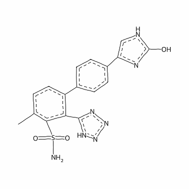 Cc1ccc(-c2ccc(-c3c[nH]c(O)n3)cc2)c(-c2nnn[nH]2)c1S(N)(=O)=O